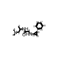 CC(CN(C)C)NC(=O)CN[C@@H]1C[C@H]1c1ccccc1